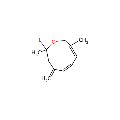 C=C1/C=C\C=C(\C)COC(C)(I)C1